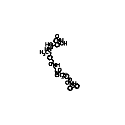 C[C@@H](Cc1cccc(CC(=O)NCCCN(C)C(=O)CCN2CCC(OC(=O)Nc3ccccc3-c3ccccc3)CC2)c1)NC[C@@H](O)c1ccc(O)c2[nH]c(=O)ccc12